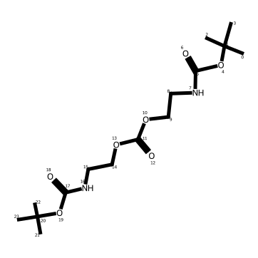 CC(C)(C)OC(=O)NCCOC(=O)OCCNC(=O)OC(C)(C)C